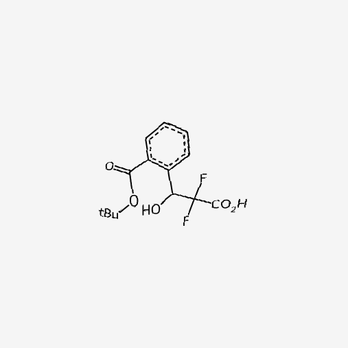 CC(C)(C)OC(=O)c1ccccc1C(O)C(F)(F)C(=O)O